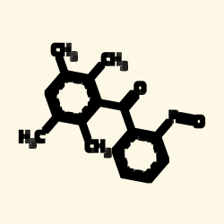 Cc1cc(C)c(C)c(C(=O)c2ccccc2P=O)c1C